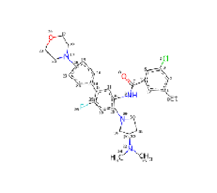 CCc1cc(Cl)cc(C(=O)Nc2cc(-c3ccc(N4CCOCC4)cc3)c(F)cc2N2CC[C@@H](N(C)C)C2)c1